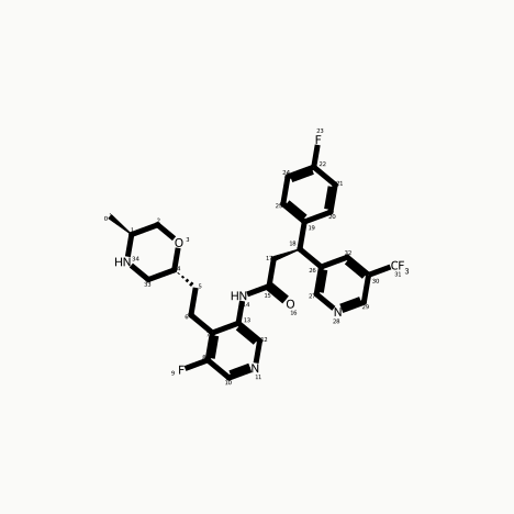 [CH2][C@H]1CO[C@H](CCc2c(F)cncc2NC(=O)C[C@@H](c2ccc(F)cc2)c2cncc(C(F)(F)F)c2)CN1